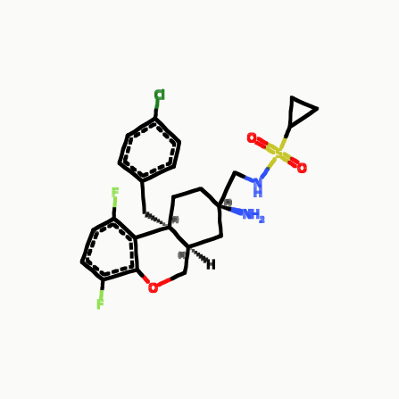 N[C@]1(CNS(=O)(=O)C2CC2)CC[C@]2(Cc3ccc(Cl)cc3)c3c(F)ccc(F)c3OC[C@@H]2C1